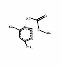 CC(C)(C)OC(N)=O.Cc1cc(Cl)ncn1